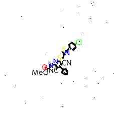 COC(=O)CN(C)c1nc(SCc2csc(-c3ccc(Cl)cc3)n2)c(C#N)c(-c2ccccc2)c1C#N